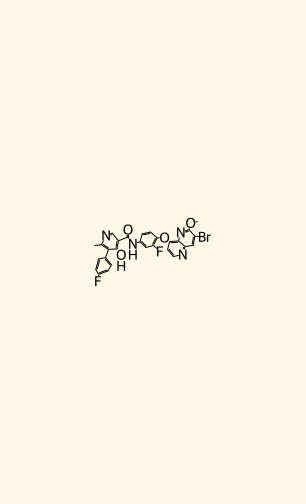 COc1nc2c(Oc3ccc(NC(=O)c4cnc(C)c(-c5ccc(F)cc5)c4O)cc3F)ccnc2cc1Br